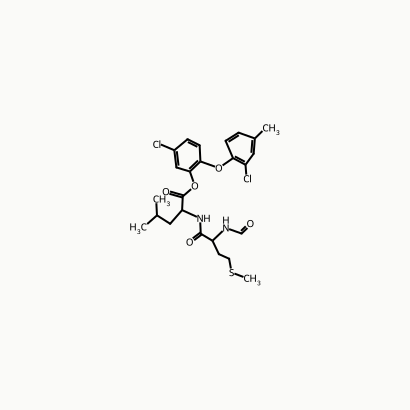 CSCCC(NC=O)C(=O)NC(CC(C)C)C(=O)Oc1cc(Cl)ccc1Oc1ccc(C)cc1Cl